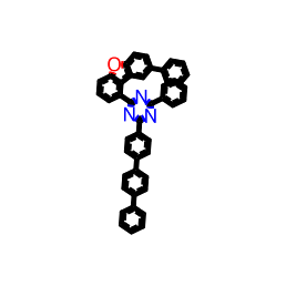 c1ccc(-c2ccc(-c3ccc(-c4nc(-c5ccccc5)nc(-c5cccc6oc7ccc(-c8ccccc8)cc7c56)n4)cc3)cc2)cc1